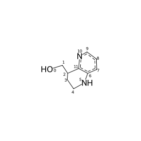 OCC1CCNc2cccnc21